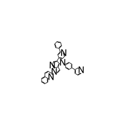 c1ccc(-c2cc3c4cnc5c(ccn5-c5ccc6ccccc6n5)c4n(-c4ccc(-c5cccnc5)cc4)c3cn2)cc1